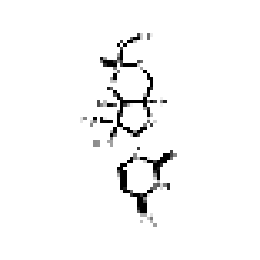 C=C1C=CN([C@@H]2O[C@@H]3COP(=O)(OC(C)C)O[C@H]3[C@@]2(C)N)C(=O)N1